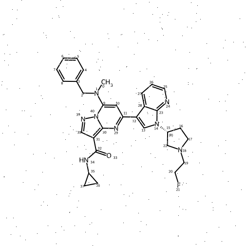 CN(Cc1ccccc1)c1cc(-c2cn([C@@H]3CCN(CCF)C3)c3ncccc23)nc2c(C(=O)NC3CC3)cnn12